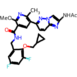 COc1nc(C)c(-c2ccc3nc(NC(C)=O)cn3n2)cc1C(=O)NCc1cc(F)cc(F)c1OCC1CC1